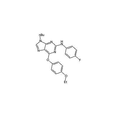 CCCCn1cnc2c(Oc3ccc(OCC)cc3)nc(Nc3ccc(F)cc3)nc21